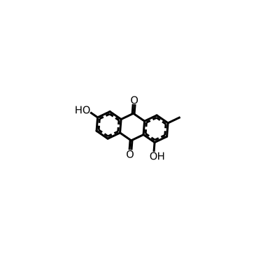 Cc1cc(O)c2c(c1)C(=O)c1cc(O)ccc1C2=O